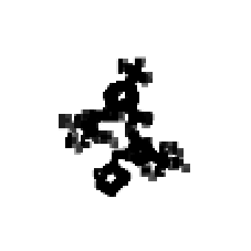 CC(C)(C)NNc1ccc(C(F)(F)F)cc1C(=O)/N=c1\sc(C(C)(C)C)cn1C[C@H]1CCCO1